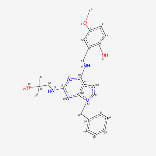 COc1ccc(O)c(CNc2nc(NCC(C)(C)O)nc3c2ncn3Cc2ccccc2)c1